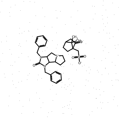 CC1(C)C2CCC1(CS(=O)(=O)[O-])C(=O)C2.O=C1N(Cc2ccccc2)C2C[S+]3CCCC3C2N1Cc1ccccc1